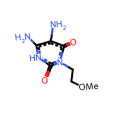 COCCn1c(=O)[nH]c(N)c(N)c1=O